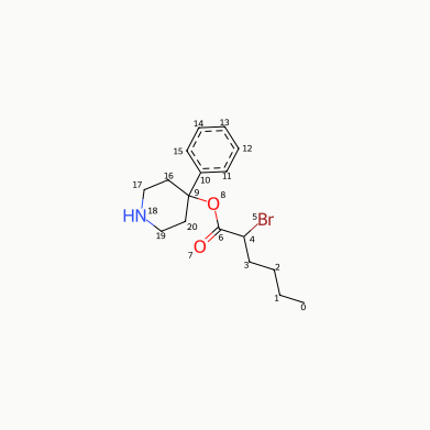 CCCCC(Br)C(=O)OC1(c2ccccc2)CCNCC1